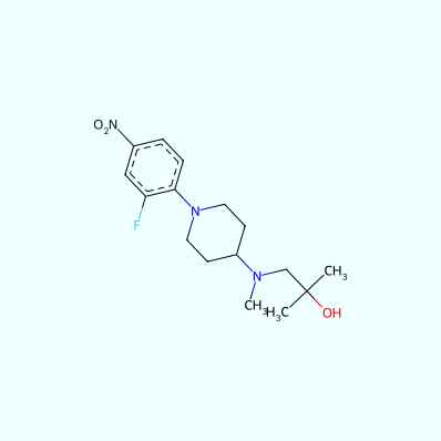 CN(CC(C)(C)O)C1CCN(c2ccc([N+](=O)[O-])cc2F)CC1